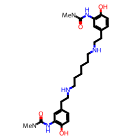 CNC(=O)Nc1cc(CCNCCCCCCNCCc2ccc(O)c(NC(=O)NC)c2)ccc1O